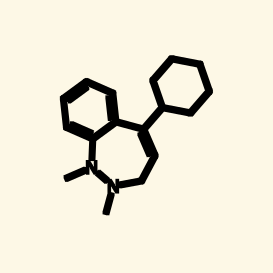 CN1CC=C(C2CCCCC2)c2ccccc2N1C